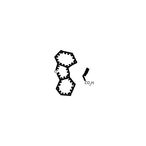 C=CC(=O)O.c1ccc2c(c1)oc1ccccc12